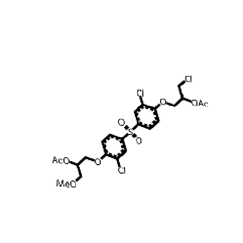 COCC(COc1ccc(S(=O)(=O)c2ccc(OCC(CCl)OC(C)=O)c(Cl)c2)cc1Cl)OC(C)=O